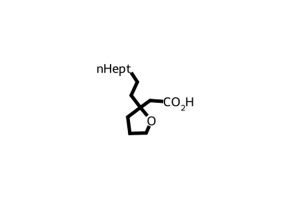 CCCCCCCCCC1(CC(=O)O)CCCO1